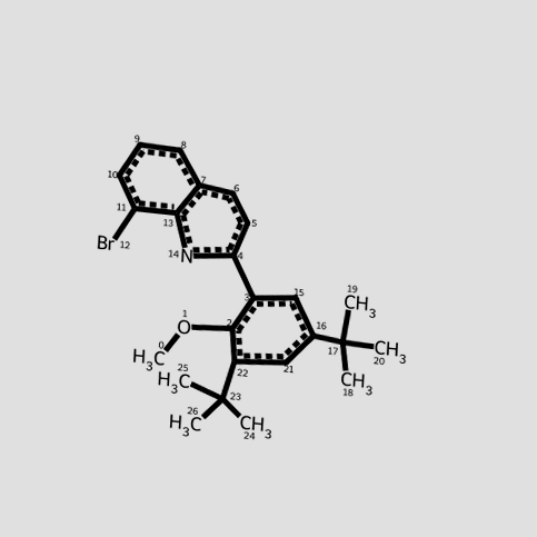 COc1c(-c2ccc3cccc(Br)c3n2)cc(C(C)(C)C)cc1C(C)(C)C